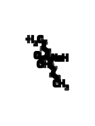 [CH2]CCCC(CCCCCC)C(=O)O.[NaH]